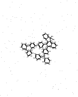 CC1(C)c2ccccc2-c2c(-c3ccc(-c4ccc5c6ccccc6c6ccccc6c5c4)cc3)c(-c3ccc(N(c4ccccc4)c4ccccc4)cc3)c3ccccc3c21